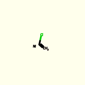 C=CCl.[Ni]